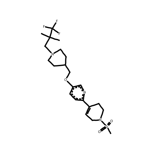 CC(C)(CN1CCC(COc2ccc(C3=CCN(S(C)(=O)=O)CC3)nc2)CC1)C(F)(F)F